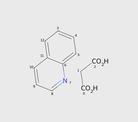 O=C(O)CC(=O)O.c1ccc2ncccc2c1